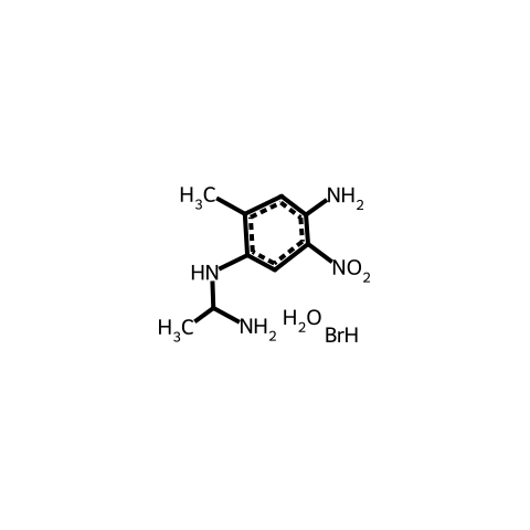 Br.Cc1cc(N)c([N+](=O)[O-])cc1NC(C)N.O